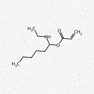 C=CC(=O)OC(CCCCC)NCC